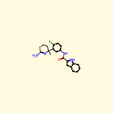 CC1(c2cc(NC(=O)c3cc4ccccc4[nH]3)ccc2F)CCSC(N)=N1